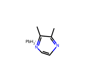 Cc1nccnc1C.[PbH2]